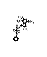 Cc1nc(N)c2nc(C)n(CCNS(=O)(=O)C=Cc3ccccc3)c2c1C